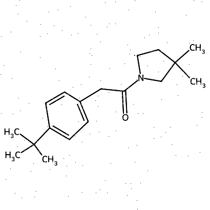 CC1(C)C[CH]N(C(=O)Cc2ccc(C(C)(C)C)cc2)C1